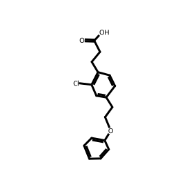 O=C(O)CCc1ccc(CCOc2ccccc2)cc1Cl